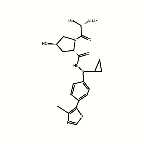 CC(=O)N[C@H](C(=O)N1C[C@H](O)C[C@H]1C(=O)NN(c1ccc(-c2scnc2C)cc1)C1CC1)C(C)(C)C